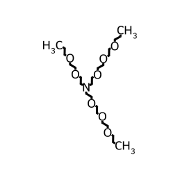 CCCOCCOCCOCCN(CCOCCOCCC)CCOCCOCCOCCC